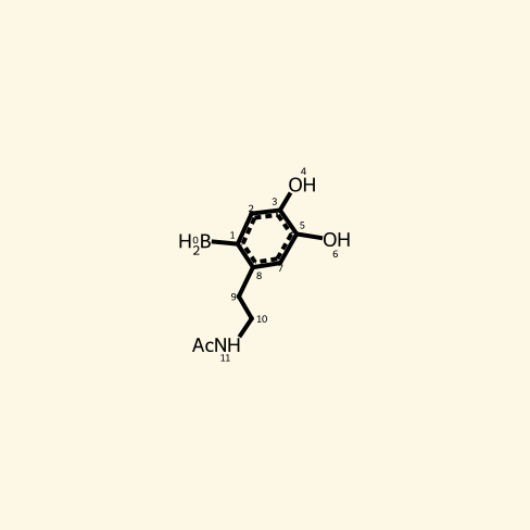 Bc1cc(O)c(O)cc1CCNC(C)=O